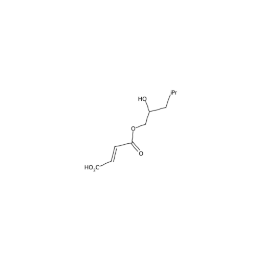 CC(C)CC(O)COC(=O)C=CC(=O)O